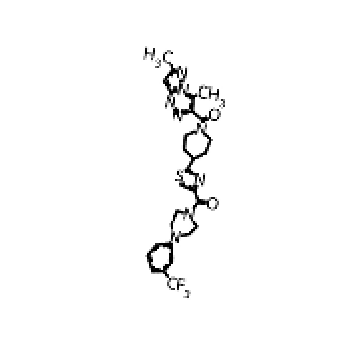 Cc1cc2nnc(C(=O)N3CCC(c4nc(C(=O)N5CCN(c6cccc(C(F)(F)F)c6)CC5)cs4)CC3)c(C)n2n1